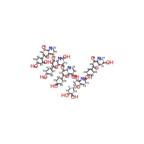 O=c1cc(-c2ccc(O)c(O)c2)oc2cccnc12.O=c1cc(-c2ccc(O)cc2)oc2c(O)ccnc12.O=c1cc(-c2ccc(O)cc2)oc2cc(O)cnc12.O=c1cc(-c2ccc(O)cc2)oc2ccc(O)nc12.O=c1cc(-c2ccc(O)cc2O)oc2cccnc12